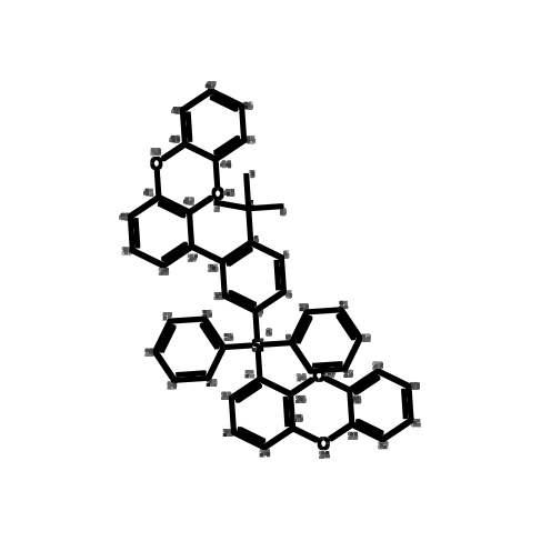 CC(C)(C)c1ccc([Si](c2ccccc2)(c2ccccc2)c2cccc3c2Oc2ccccc2O3)cc1-c1cccc2c1Oc1ccccc1O2